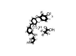 O=C(O)C(F)(F)F.O=C(O)[C@]1(Cc2cccc(Nc3cc[nH]n3)n2)CC[C@@H](Oc2cccc(C(F)(F)F)c2F)CC1